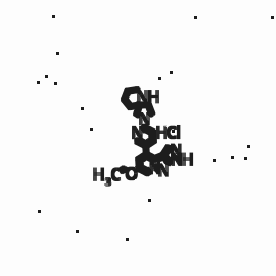 CCOc1cc(-c2ccc(N3CCC4(CCCCN4)C3)nc2)c2c3cn[nH]c3nn2c1.Cl